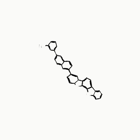 N#Cc1cccc(-c2ccc3cc(C4=CC5c6ccc7c(oc8ccccc87)c6OC5C=C4)ccc3c2)c1